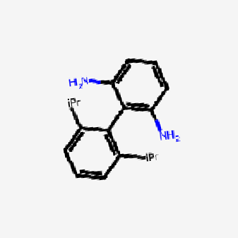 CC(C)c1cccc(C(C)C)c1-c1c(N)cccc1N